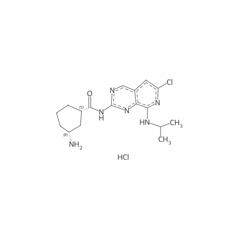 CC(C)Nc1nc(Cl)cc2cnc(NC(=O)[C@H]3CCC[C@@H](N)C3)nc12.Cl